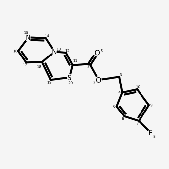 O=C(OCc1ccc(F)cc1)C1=CN2C=NC=CC2=CS1